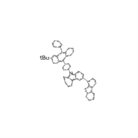 CC(C)(C)c1ccc2c(-c3ccc(-n4c5ccccc5c5cc(-c6cccc7c6sc6ccccc67)ccc54)cc3)c3ccccc3c(-c3ccccc3)c2c1